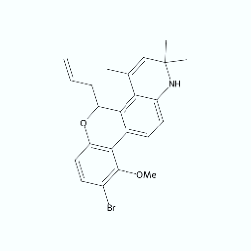 C=CCC1Oc2ccc(Br)c(OC)c2-c2ccc3c(c21)C(C)=CC(C)(C)N3